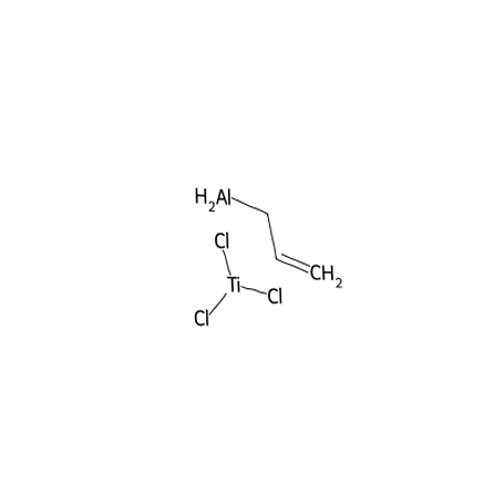 C=C[CH2][AlH2].[Cl][Ti]([Cl])[Cl]